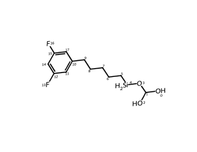 OC(O)O[SiH2]CCCCCc1cc(F)cc(F)c1